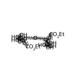 CCOC(=O)Cc1cccc(-c2cc(CCCCCCOCCCCCCc3ccc(O[C@H]4O[C@H](CO)[C@@H](O)[C@H](O)[C@@H]4O)c(-c4cccc(CC(=O)OCC)c4)c3)ccc2O[C@H]2O[C@H](CO)[C@@H](O)[C@H](O)[C@@H]2O)c1